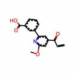 C=CC(=O)c1cc(OC)nc(-c2cccc(C(=O)O)c2)c1